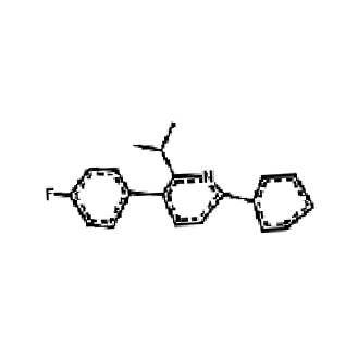 CC(C)c1nc(-c2ccccc2)ccc1-c1ccc(F)cc1